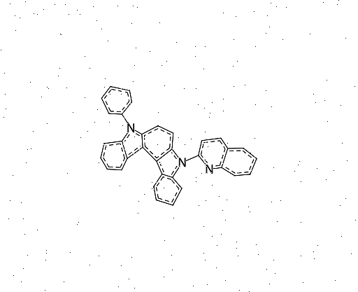 c1ccc(-n2c3ccccc3c3c4c5ccccc5n(-c5ccc6ccccc6n5)c4ccc32)cc1